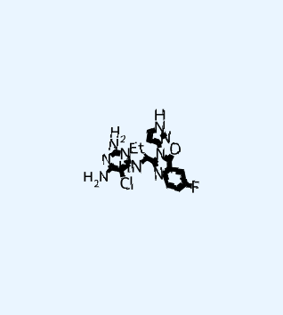 CC[C@H](Nc1nc(N)nc(N)c1Cl)c1nc2ccc(F)cc2c(=O)n1-c1cc[nH]n1